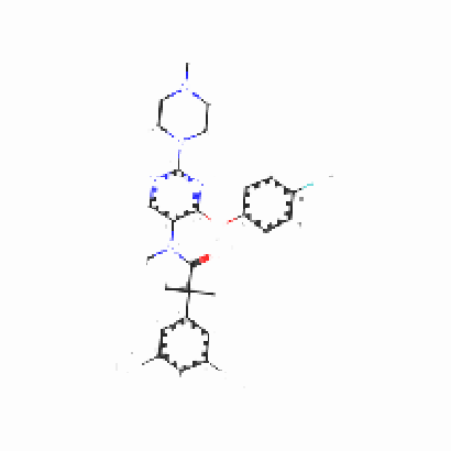 CN1CCN(c2ncc(N(C)C(=O)C(C)(C)c3cc(C(F)(F)F)cc(C(F)(F)F)c3)c(Oc3ccc(F)cc3)n2)CC1